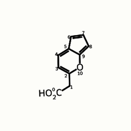 O=C(O)Cc1ccc2cccc-2o1